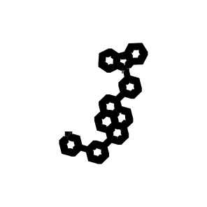 c1cncc(-c2cccc(-c3ccc4ccc5c(-c6cccc(-n7c8ccccc8c8ccccc87)c6)ccc6ccc3c4c65)c2)c1